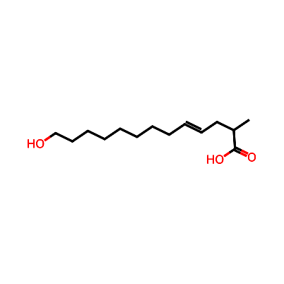 CC(CC=CCCCCCCCCO)C(=O)O